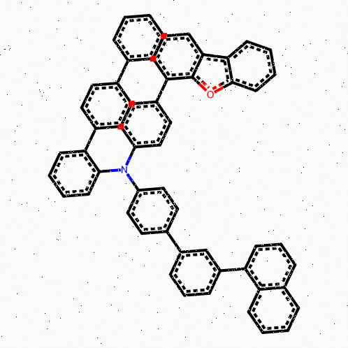 c1ccc(-c2ccc(-c3ccccc3N(c3ccc(-c4cccc(-c5cccc6ccccc56)c4)cc3)c3ccc(-c4cccc5c4oc4ccccc45)cc3)cc2)cc1